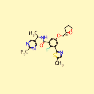 Cc1cnc(-c2cc(OC[C@H]3CCCO3)cc(C(=O)NC(C)c3cnc(C(F)(F)F)nc3)c2F)s1